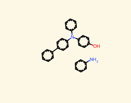 Nc1ccccc1.Oc1ccc(N(c2ccccc2)c2ccc(-c3ccccc3)cc2)cc1